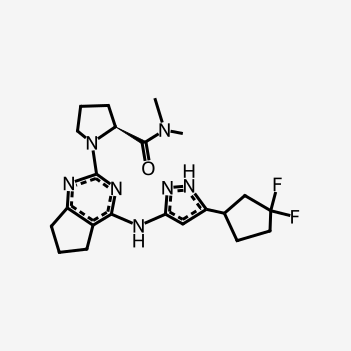 CN(C)C(=O)[C@@H]1CCCN1c1nc2c(c(Nc3cc(C4CCC(F)(F)C4)[nH]n3)n1)CCC2